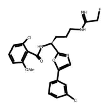 COc1cccc(Cl)c1C(=O)N[C@@H](CCCNC(=N)CF)c1ncc(-c2cccc(Cl)c2)o1